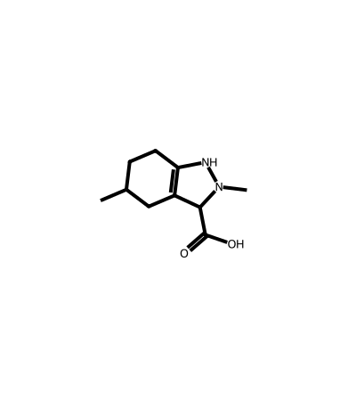 CC1CCC2=C(C1)C(C(=O)O)N(C)N2